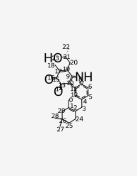 CC1=C(Cc2ccc3[nH]c4c(c3c2)C(=O)C(=O)C(C)=C4C[C@@H](C)O)CCC(C)(C)C1